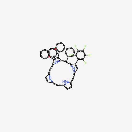 Fc1c(F)c(F)c(C2=Cc3cc4ccc(cc5nc(cc6c(-c7ccccc7)c(-c7ccccc7)c(c(-c7ccccc7)c2n3)n6-c2ccccc2)C=C5)[nH]4)c(F)c1F